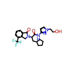 O=C(Nc1ccn(CCO)n1)C(CC1CCCC1)N1Cc2c(cccc2C(F)(F)F)C1=O